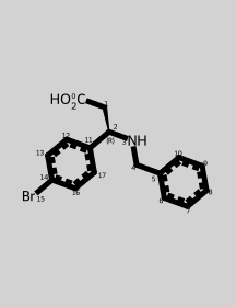 O=C(O)C[C@@H](NCc1ccccc1)c1ccc(Br)cc1